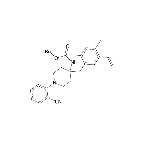 C=Cc1cc(CC2(NC(=O)OC(C)(C)C)CCN(c3ccccc3C#N)CC2)c(C)cc1C